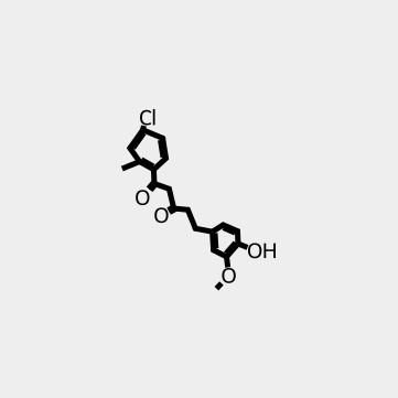 COc1cc(CCC(=O)CC(=O)c2ccc(Cl)cc2C)ccc1O